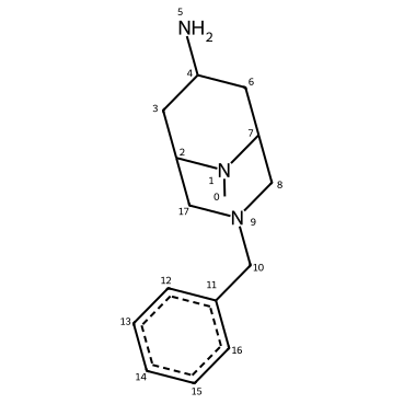 CN1C2CC(N)CC1CN(Cc1ccccc1)C2